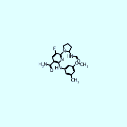 COc1cc(C)cc(Nc2nc(N3CCCC3NC=O)c(F)cc2C(N)=O)c1